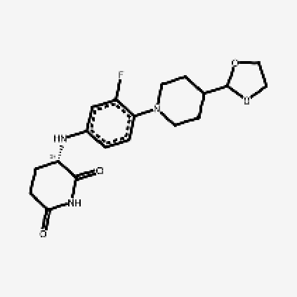 O=C1CC[C@H](Nc2ccc(N3CCC(C4OCCO4)CC3)c(F)c2)C(=O)N1